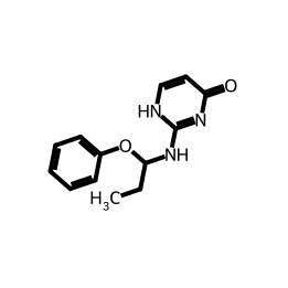 CCC(Nc1nc(=O)cc[nH]1)Oc1ccccc1